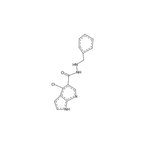 O=C(NNCc1ccccc1)c1cnc2[nH]ccc2c1Cl